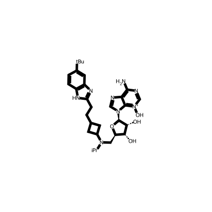 CC(C)N(C[C@H]1O[C@@H](n2cnc3c(N)nc[n+](O)c32)[C@H](O)[C@@H]1O)C1CC(CCc2nc3cc(C(C)(C)C)ccc3[nH]2)C1